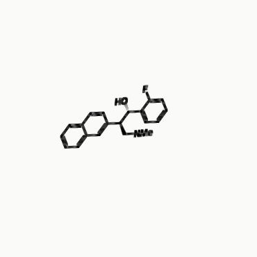 CNC[C@@H](c1ccc2ccccc2c1)[C@H](O)c1ccccc1F